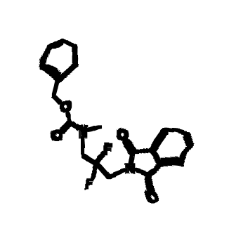 CN(CC(F)(F)CN1C(=O)c2ccccc2C1=O)C(=O)OCc1ccccc1